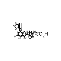 Cc1cc(NC2CCCC2)c2[nH]c(C3=N[C@@H](CC(=O)O)CO3)cc2c1